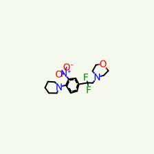 O=[N+]([O-])c1cc(C(F)(F)CN2CCOCC2)ccc1N1CCCCC1